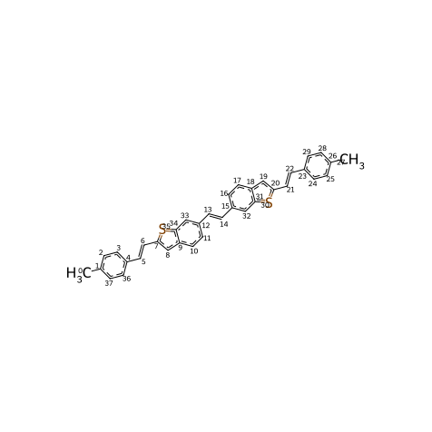 Cc1ccc(/C=C/c2cc3ccc(/C=C/c4ccc5cc(/C=C/c6ccc(C)cc6)sc5c4)cc3s2)cc1